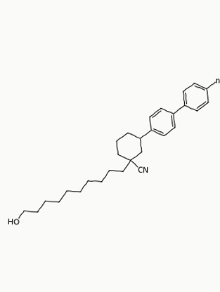 CCCCc1ccc(-c2ccc(C3CCCC(C#N)(CCCCCCCCCCO)C3)cc2)cc1